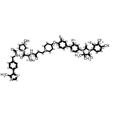 Cc1ncsc1-c1ccc(CNC(=O)[C@@H]2C[C@@H](O)CN2C(=O)[C@@H](NC(=O)CCN2CCC(Oc3ccc(-c4ncc(N5C(=S)N(c6ccc(C#N)c(C(F)(F)F)c6F)C(=O)C5(C)C)cc4F)cc3F)CC2)C(C)(C)C)cc1